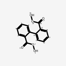 O=C(OO)c1ccccc1-c1ccccc1C(=O)OO